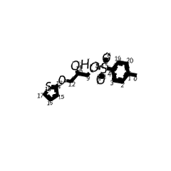 Cc1ccc(S(=O)(=O)OCC(O)COc2cccs2)cc1